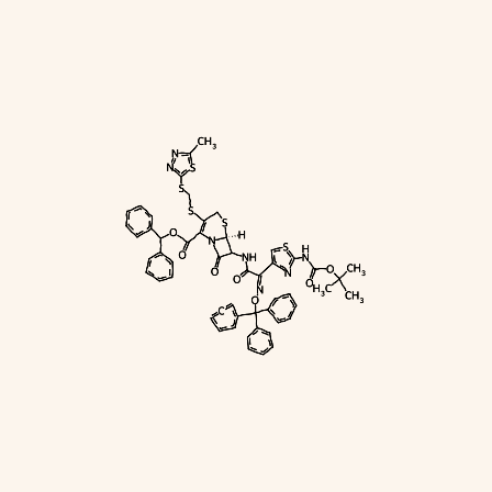 Cc1nnc(SCSC2=C(C(=O)OC(c3ccccc3)c3ccccc3)N3C(=O)C(NC(=O)/C(=N\OC(c4ccccc4)(c4ccccc4)c4ccccc4)c4csc(NC(=O)OC(C)(C)C)n4)[C@@H]3SC2)s1